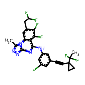 Cc1nnc2nc(Nc3cc(F)cc(C#CC4(C(C)(F)F)CC4)c3)c3c(F)c(F)c(CC(F)F)cc3n12